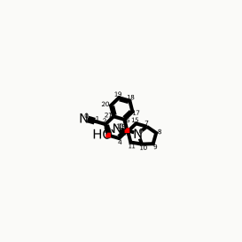 N#Cc1ccc(N2C3CCC2CC(=NO)C3)c2ccccc12